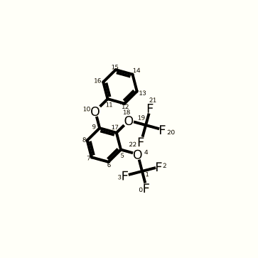 FC(F)(F)Oc1cccc(Oc2[c]cccc2)c1OC(F)(F)F